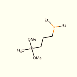 CCP(CC)CCC[Si](C)(OC)OC